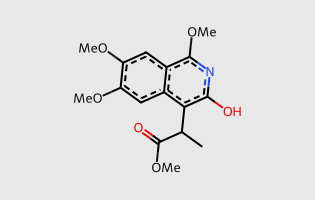 COC(=O)C(C)c1c(O)nc(OC)c2cc(OC)c(OC)cc12